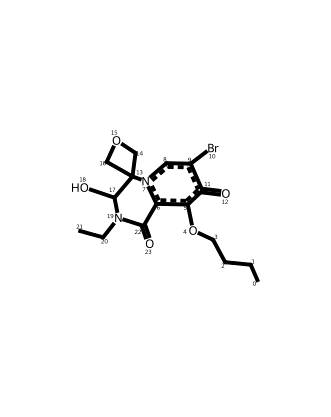 CCCCOc1c2n(cc(Br)c1=O)C1(COC1)C(O)N(CC)C2=O